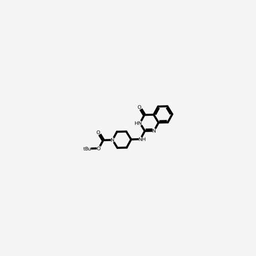 CC(C)(C)OC(=O)N1CCC(Nc2nc3ccccc3c(=O)[nH]2)CC1